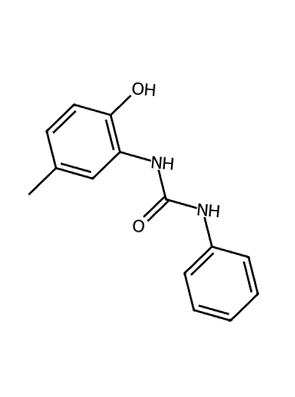 Cc1ccc(O)c(NC(=O)Nc2ccccc2)c1